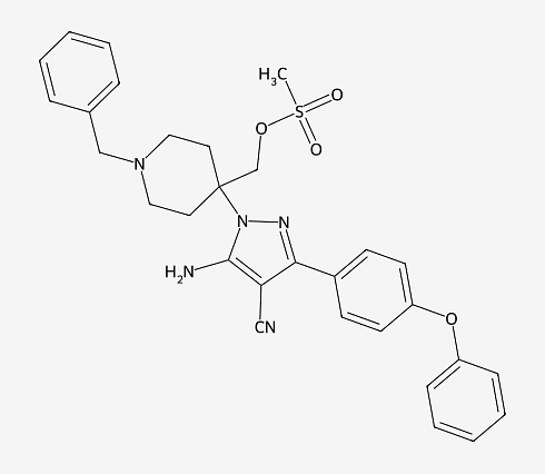 CS(=O)(=O)OCC1(n2nc(-c3ccc(Oc4ccccc4)cc3)c(C#N)c2N)CCN(Cc2ccccc2)CC1